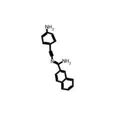 NC(=NC#Cc1ccc(N)cc1)c1ccc2ccccc2c1